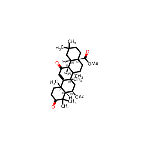 COC(=O)[C@]12CCC(C)(C)C[C@H]1[C@H]1C(=O)C=C3[C@@]4(C)CCC(=O)C(C)(C)[C@@H]4[C@H](OC(C)=O)C[C@@]3(C)[C@]1(C)CC2